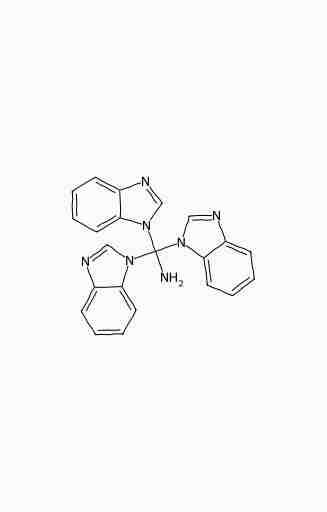 NC(n1cnc2ccccc21)(n1cnc2ccccc21)n1cnc2ccccc21